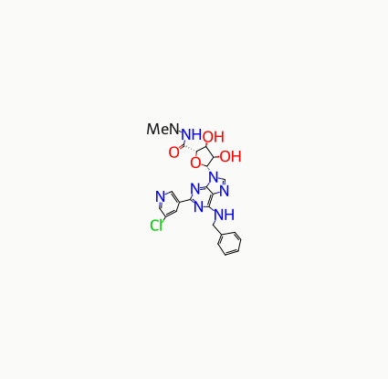 CNNC(=O)[C@H]1O[C@@H](n2cnc3c(NCc4ccccc4)nc(-c4cncc(Cl)c4)nc32)[C@H](O)[C@@H]1O